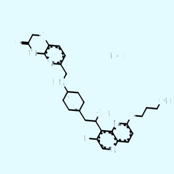 Cl.O=C1COc2ccc(CNC34CCC(CC(O)c5c(F)cnc6ccc(OCCCO)nc56)(CC3)OC4)nc2N1